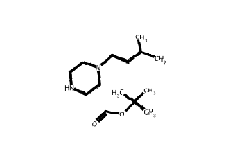 CC(C)(C)OC=O.CC(C)CCN1CCNCC1